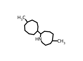 CC1CCCCC(C2CCCC(C)CCCN2)CCC1